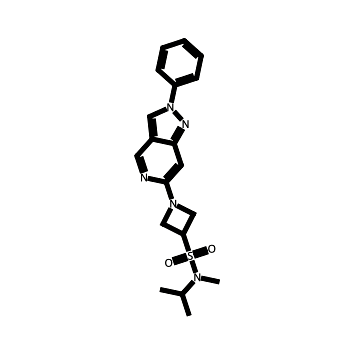 CC(C)N(C)S(=O)(=O)C1CN(c2cc3nn(-c4ccccc4)cc3cn2)C1